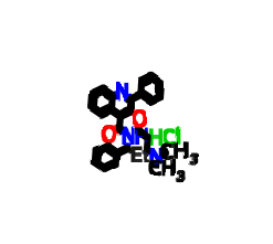 CC[C@H](NC(=O)c1c(OCCCN(C)C)c(-c2ccccc2)nc2ccccc12)c1ccccc1.Cl